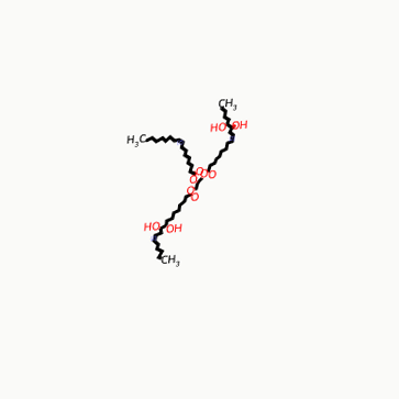 CCCCC/C=C\CC(O)C(O)CCCCCCCC(=O)OCC(COC(=O)CCCCCCC/C=C\CC(O)C(O)CCCCC)OC(=O)CCCCCCC/C=C\CCCCCCCC